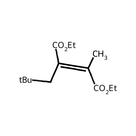 CCOC(=O)C(C)=C(CC(C)(C)C)C(=O)OCC